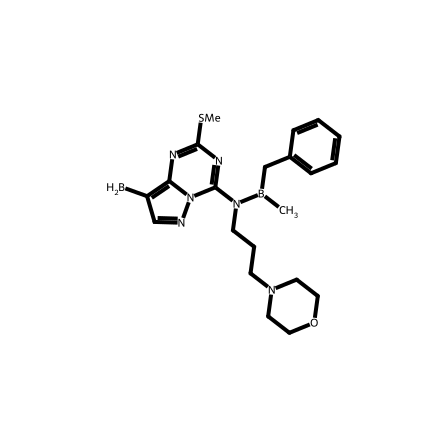 Bc1cnn2c(N(CCCN3CCOCC3)B(C)Cc3ccccc3)nc(SC)nc12